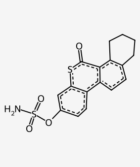 NS(=O)(=O)Oc1ccc2c(c1)sc(=O)c1c3c(ccc12)CCCC3